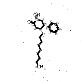 CCCCCCCCC[C@@H]1CC(=O)N(O)C[C@@H]1c1ccccc1